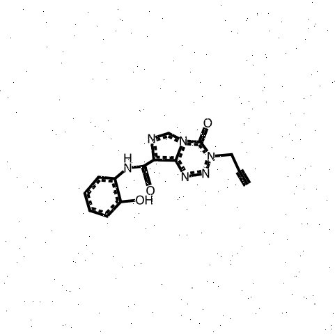 C#CCn1nnc2c(C(=O)Nc3ccccc3O)ncn2c1=O